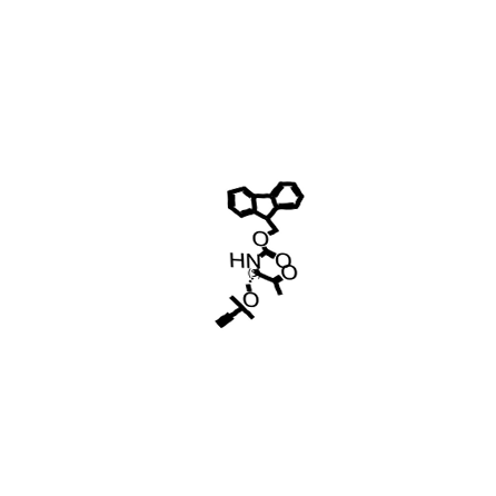 C#CC(C)(C)OC[C@H](NC(=O)OCC1c2ccccc2-c2ccccc21)C(C)=O